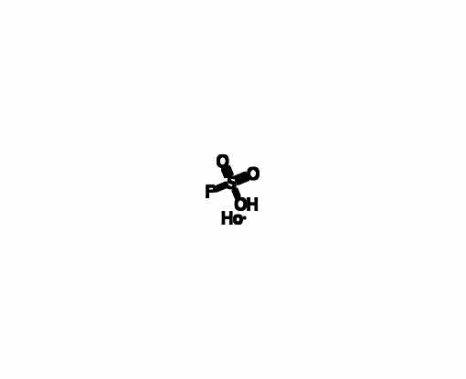 O=S(=O)(O)F.[Ho]